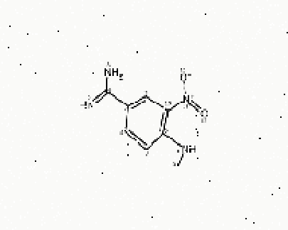 CNc1ccc(C(=N)N)cc1[N+](=O)[O-]